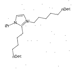 CCCCCCCCCCCCCCC[n+]1ccn(C(C)C)c1CCCCCCCCCCCCCC